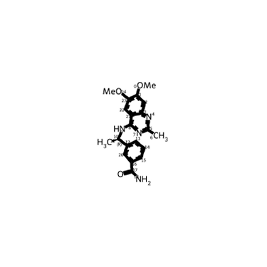 COc1cc2nc(C)nc(N[C@H](C)c3cccc(C(N)=O)c3)c2cc1OC